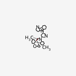 Cc1ccc2c(c1)C1(c3ccccc3Oc3ccccc31)c1cc(C)ccc1N2c1cncc(-n2c3ccccc3c3ncccc32)c1